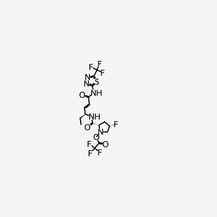 CC[C@@H](/C=C/C(=O)Nc1nnc(C(F)(F)F)s1)NC(=O)[C@@H]1C[C@H](F)CN1OC(=O)C(F)(F)F